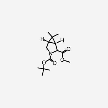 COC(=O)C1[C@@H]2[C@H](CN1C(=O)OC(C)(C)C)C2(C)C